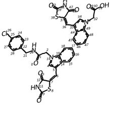 O=C(Cn1cc(C=C2SC(=O)NC2=O)c2ccccc21)NCc1ccc(Cl)cc1.O=C(O)Cn1cc(C=C2SC(=O)NC2=O)c2ccccc21